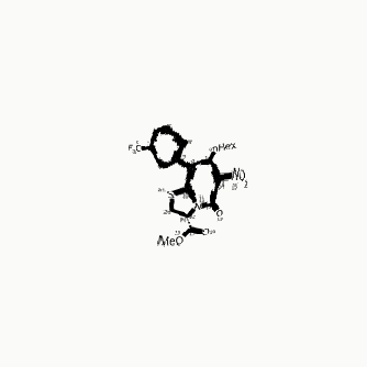 CCCCCCc1c(-c2cccc(C(F)(F)F)c2)c2n(c(=O)c1[N+](=O)[O-])[C@H](C(=O)OC)CS2